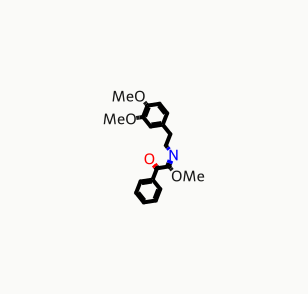 COC(=NCCc1ccc(OC)c(OC)c1)C(=O)c1ccccc1